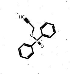 C#CCOP(=O)(c1ccccc1)c1ccccc1